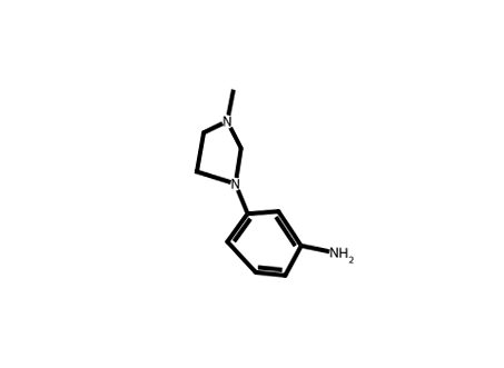 CN1CCN(c2cccc(N)c2)C1